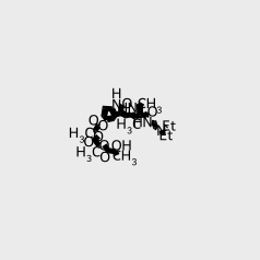 CCN(CC)CCNC(=O)c1c(C)[nH]c(/C=C2\C(=O)Nc3ccc(OC(=O)C(C)OC(=O)C(C)OC(=O)C(C)O)cc32)c1C